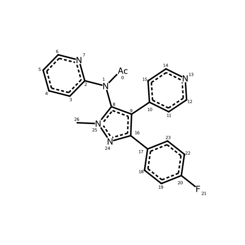 CC(=O)N(c1ccccn1)c1c(-c2ccncc2)c(-c2ccc(F)cc2)nn1C